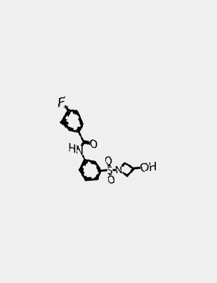 O=C(Nc1cccc(S(=O)(=O)N2CC(O)C2)c1)c1ccc(F)cc1